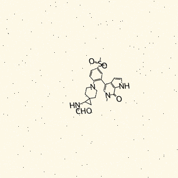 Cn1cc(-c2cc(S(C)(=O)=O)ccc2N2CCC3(CC2)CC3NC=O)c2cc[nH]c2c1=O